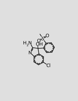 CS(=O)(=O)c1ccccc1C1(O)C(N)=Nc2ccc(Cl)cc21